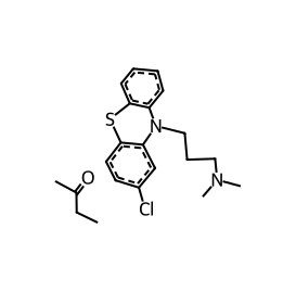 CCC(C)=O.CN(C)CCCN1c2ccccc2Sc2ccc(Cl)cc21